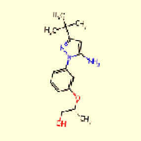 C[C@H](CO)Oc1cccc(-n2nc(C(C)(C)C)cc2N)c1